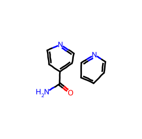 NC(=O)c1ccncc1.c1ccncc1